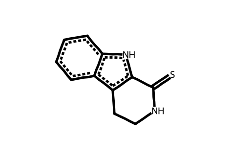 S=C1NCCc2c1[nH]c1ccccc21